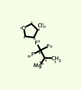 C1CCOC1.C[CH]([Mg+])C(F)(F)F.[Cl-]